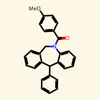 COc1ccc(C(=O)N2Cc3ccccc3C(c3ccccc3)c3ccccc32)cc1